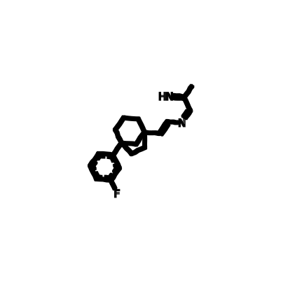 CC(=N)/C=N\C=C\C12CCCC(c3cccc(F)c3)(CC1)C2